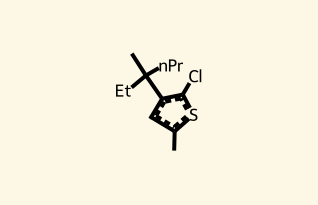 CCCC(C)(CC)c1cc(C)sc1Cl